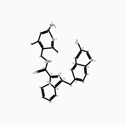 Cc1cc(N)nc(C)c1CNC(=O)c1nc(Cc2ccc3ncc(Cl)cc3c2)c2ccccn12